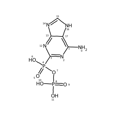 Nc1nc(P(=O)(O)OP(=O)(O)O)nc2nc[nH]c12